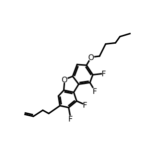 C=CCCc1cc2oc3cc(OCCCCC)c(F)c(F)c3c2c(F)c1F